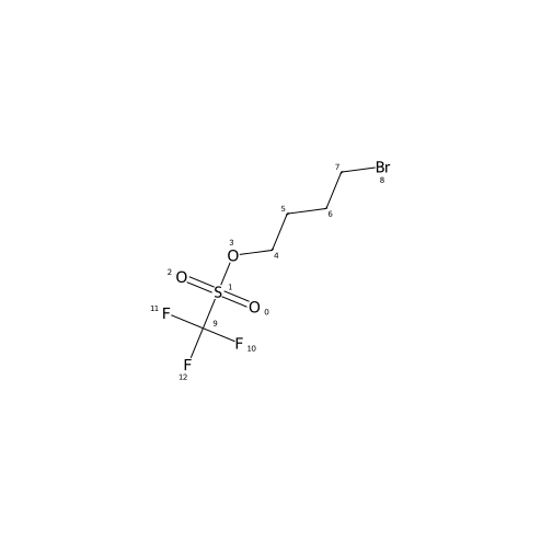 O=S(=O)(OCCCCBr)C(F)(F)F